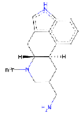 CCCN1CC(CN)C[C@@H]2c3cccc4[nH]cc(c34)C[C@H]21